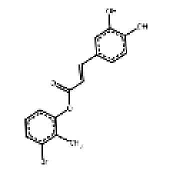 Cc1c(Br)cccc1OC(=O)C=Cc1ccc(O)c(O)c1